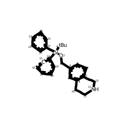 CC(C)(C)[Si](OCc1ccc2c(c1)CCNC2)(c1ccccc1)c1ccccc1